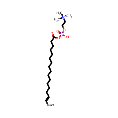 CCCCCCCCC=CCCCCCCCCCCCCCC(=O)OP(=O)(O)OCC[N+](C)(C)C